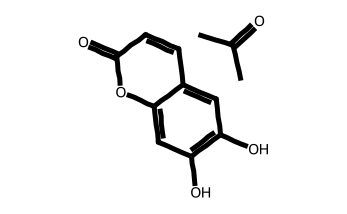 CC(C)=O.O=c1ccc2cc(O)c(O)cc2o1